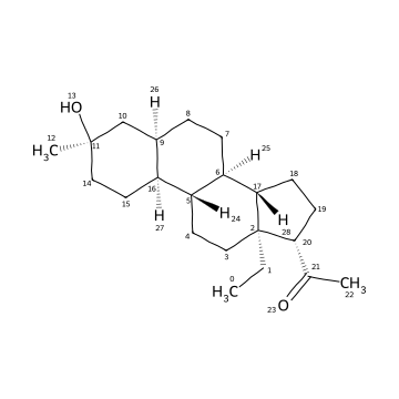 CC[C@]12CC[C@H]3[C@@H](CC[C@@H]4C[C@](C)(O)CC[C@@H]43)[C@@H]1CC[C@@H]2C(C)=O